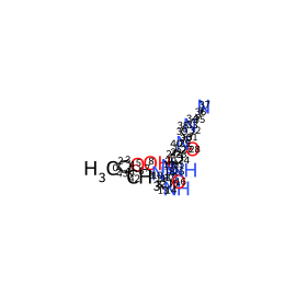 Cc1ccc(OC[C@H](O)CNc2cc[nH]c(=O)c2-c2nc3cc4c(cc3[nH]2)C(=O)N(C2CCN(CCC#N)CC2)C4)c(C)c1